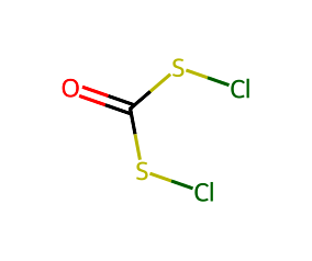 O=C(SCl)SCl